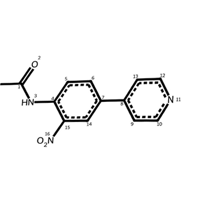 CCCC(=O)Nc1ccc(-c2ccncc2)cc1[N+](=O)[O-]